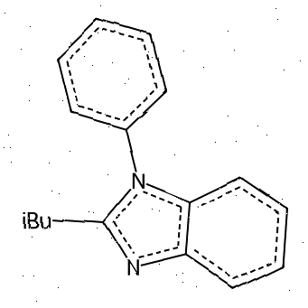 CCC(C)c1nc2ccccc2n1-c1ccccc1